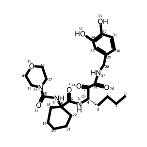 CCCC[C@H](NC(=O)C1(NC(=O)N2CCOCC2)CCCCC1)C(=O)C(=O)NCc1ccc(O)c(O)c1